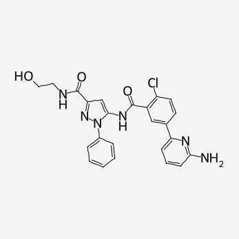 Nc1cccc(-c2ccc(Cl)c(C(=O)Nc3cc(C(=O)NCCO)nn3-c3ccccc3)c2)n1